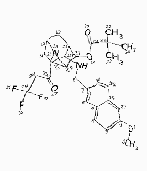 COc1ccc2cc(CNC3C4CC5CC3C(C4OC(=O)C(C)(C)C)N(C(=O)CC(F)(F)F)C5)ccc2c1